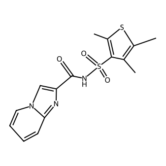 Cc1sc(C)c(S(=O)(=O)NC(=O)c2cn3ccccc3n2)c1C